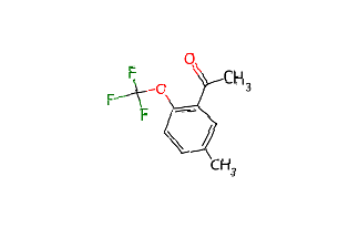 CC(=O)c1cc(C)ccc1OC(F)(F)F